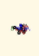 CC(C)(O)c1cnnn1[C@H]1C[C@@H](C(=O)NC2(C(=O)C(N)=O)CCOCC2)N(C(=O)C(CC2CCCCC2)NC(=O)Nc2ccc(F)c(Cl)c2)C1